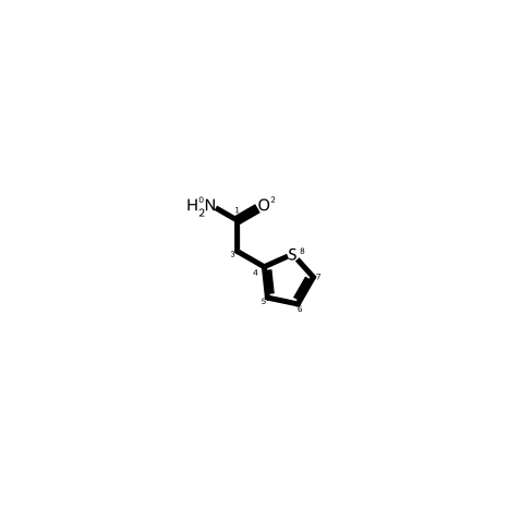 NC(=O)Cc1cccs1